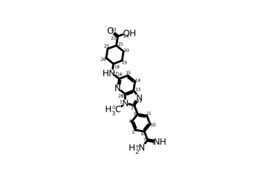 Cn1c(-c2ccc(C(=N)N)cc2)nc2ccc(NC3CCC(C(=O)O)CC3)nc21